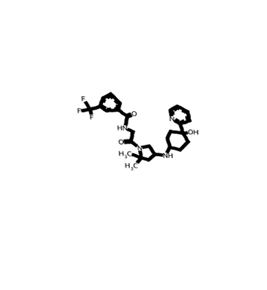 CC1(C)CC(NC2CCC(O)(c3ccccn3)CC2)CN1C(=O)CNC(=O)c1cccc(C(F)(F)F)c1